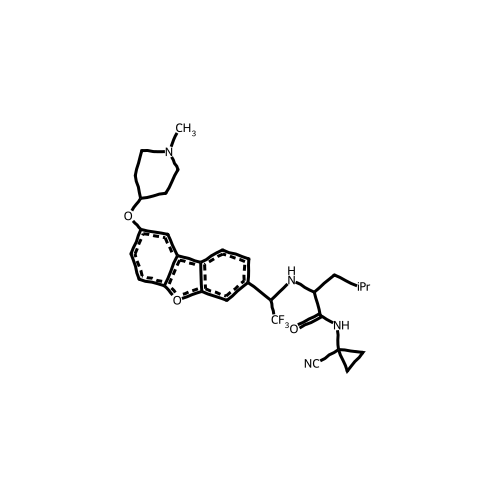 CC(C)CC(NC(c1ccc2c(c1)oc1ccc(OC3CCN(C)CC3)cc12)C(F)(F)F)C(=O)NC1(C#N)CC1